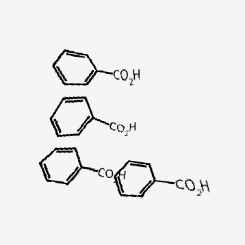 O=C(O)c1ccccc1.O=C(O)c1ccccc1.O=C(O)c1ccccc1.O=C(O)c1ccccc1